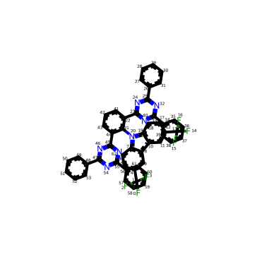 FC(F)(F)c1ccc2c(c1)c1cc(C(F)(F)F)ccc1n2-c1c(-c2nc(-c3ccccc3)nc(-c3ccccc3)n2)cccc1-c1nc(-c2ccccc2)nc(-c2ccccc2)n1